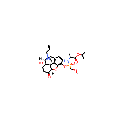 C=CCN1CC[C@]23c4c5ccc(OP(=O)(COC)N[C@@H](C)C(=O)OC(C)C)c4O[C@H]2C(=O)CC[C@@]3(O)[C@H]1C5